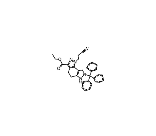 CCOC(=O)c1nn(CCC#N)c2c1CCC1=C2CN(C(c2ccccc2)(c2ccccc2)c2ccccc2)N1